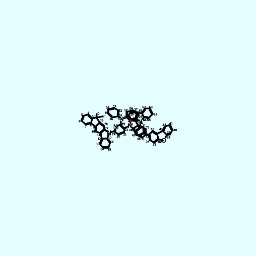 CC1(C)c2ccccc2-c2cc3c4ccccc4n(-c4ccc(-n5c6ccccc6c6cc(-c7ccc8oc9ccccc9c8c7)ccc65)c(N(c5ccccc5)c5ccc6c7ccccc7n(-c7ccccc7)c6c5)n4)c3cc21